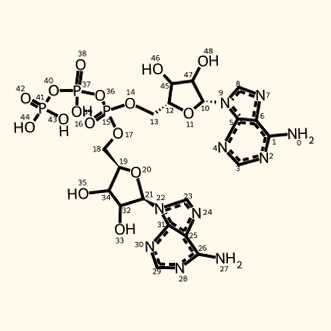 Nc1ncnc2c1ncn2[C@@H]1O[C@H](COP(=O)(OC[C@H]2O[C@@H](n3cnc4c(N)ncnc43)C(O)C2O)OP(=O)(O)OP(=O)(O)O)C(O)C1O